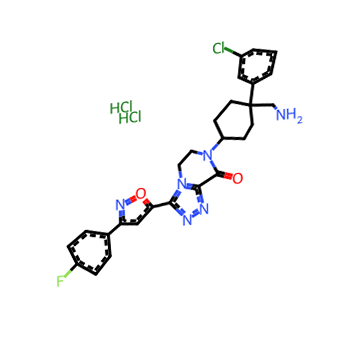 Cl.Cl.NCC1(c2cccc(Cl)c2)CCC(N2CCn3c(nnc3-c3cc(-c4ccc(F)cc4)no3)C2=O)CC1